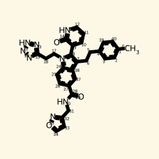 Cc1ccc(CCc2c(-c3ccc[nH]c3=O)n(CCc3nn[nH]n3)c3ccc(C(=O)NCc4ccon4)cc23)cc1